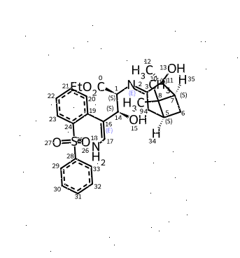 CCOC(=O)[C@@H](/N=C1\C[C@@H]2C[C@@H](C2(C)C)[C@]1(C)O)[C@@H](O)/C(=C/N)c1ccccc1S(=O)(=O)c1ccccc1